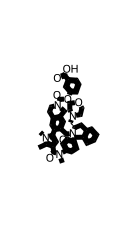 Cc1c(C(=O)N(C)c2ccccc2)cc(-c2cc3c(cc2C(=O)N2Cc4ccccc4C[C@H]2CN2CCOCC2)CN(C(=O)Oc2cccc(C(=O)O)c2)CC3)n1C